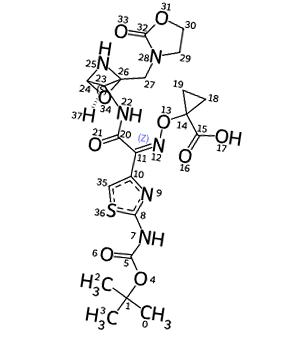 CC(C)(C)OC(=O)Nc1nc(/C(=N/OC2(C(=O)O)CC2)C(=O)N[C@H]2C3NC2(CN2CCOC2=O)O3)cs1